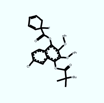 CCCCC(C)(C)C(=O)Oc1c(OCCC)c(OCCC)c(OC(=O)C2(F)C=CC=CC2)c2ccc(Cl)cc12